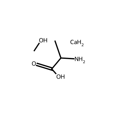 CC(N)C(=O)O.CO.[CaH2]